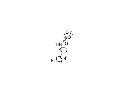 CC1(C)OC[C@H]([C@H]2CNc3cc(-c4cc(F)ccc4F)ccc3O2)O1